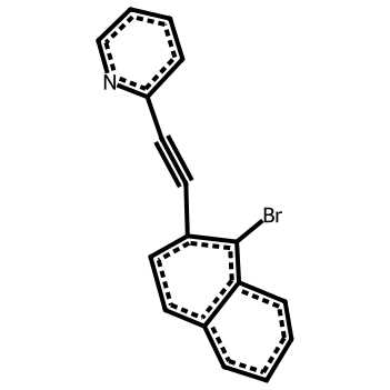 Brc1c(C#Cc2ccccn2)ccc2ccccc12